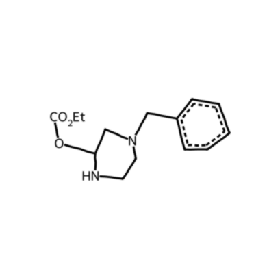 CCOC(=O)OC1CN(Cc2ccccc2)CCN1